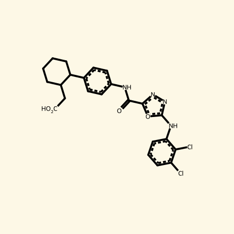 O=C(O)CC1CCCCC1c1ccc(NC(=O)c2nnc(Nc3cccc(Cl)c3Cl)o2)cc1